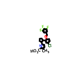 Cc1ccc(C2=C(c3cc(Cl)ccc3OCc3cc(F)c(F)c(F)c3)CCC2)nc1C(=O)O